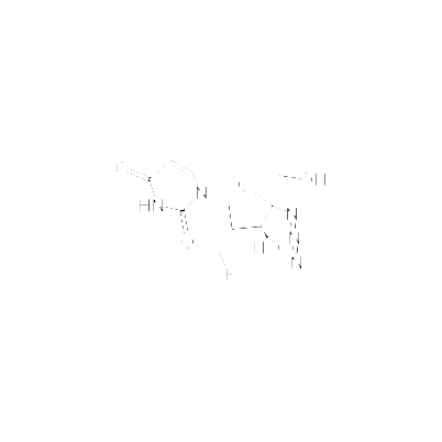 [N-]=[N+]=N[C@]1(CO)O[C@@H](n2ccc(=O)[nH]c2=O)[C@@H](CF)[C@@H]1O